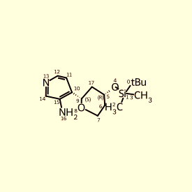 CC(C)(C)[Si](C)(C)O[C@@H]1CCO[C@H](c2ccncc2N)C1